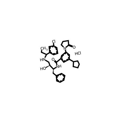 CCC(NC[C@H](O)[C@H](Cc1ccccc1)NC(=O)c1cc(C2CCCC2)cc(N2CCCC2=O)c1)c1cccc(Cl)c1.Cl